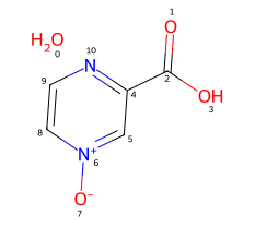 O.O=C(O)c1c[n+]([O-])ccn1